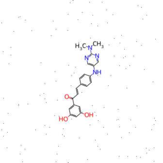 CN(C)c1ncc(Nc2ccc(/C=C/C(=O)c3cc(O)cc(O)c3)cc2)cn1